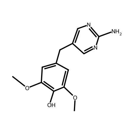 COc1cc(Cc2cnc(N)nc2)cc(OC)c1O